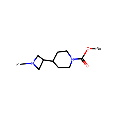 CC(C)N1CC(C2CCN(C(=O)OC(C)(C)C)CC2)C1